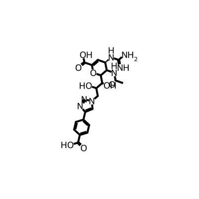 CC(=O)NC1C(C(O)C(O)Cn2cc(-c3ccc(C(=O)O)cc3)nn2)OC(C(=O)O)=C[C@H]1NC(=N)N